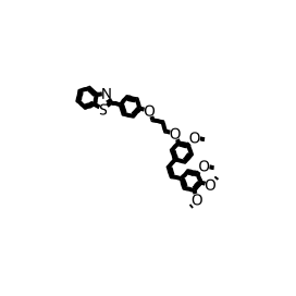 COc1ccc(/C=C\c2cc(OC)c(OC)c(OC)c2)cc1OCCCOc1ccc(-c2nc3ccccc3s2)cc1